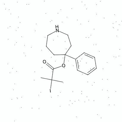 CC(C)(I)C(=O)OC1(c2ccccc2)CCCNCC1